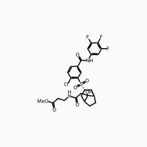 COC(=O)CCNC(=O)C[C@]1(O)C2CCC1C[C@@H](S(=O)(=O)c1cc(C(=O)Nc3cc(F)c(F)c(F)c3)ccc1Cl)C2